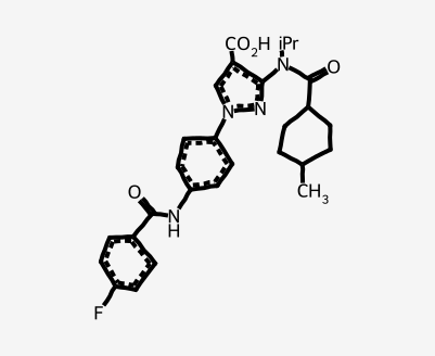 CC1CCC(C(=O)N(c2nn(-c3ccc(NC(=O)c4ccc(F)cc4)cc3)cc2C(=O)O)C(C)C)CC1